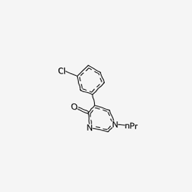 CCCn1cnc(=O)c(-c2cccc(Cl)c2)c1